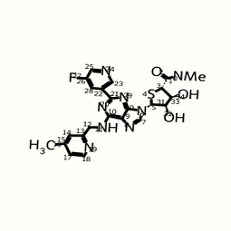 CNC(=O)[C@H]1S[C@@H](n2cnc3c(NCc4cc(C)ccn4)nc(-c4cncc(F)c4)nc32)[C@H](O)[C@@H]1O